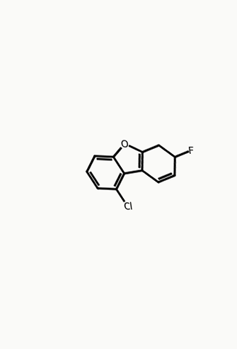 FC1C=Cc2c(oc3cccc(Cl)c23)C1